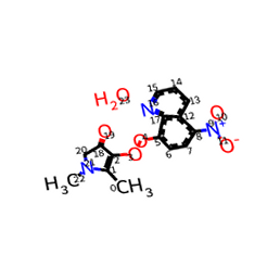 CC1=C(OOc2ccc([N+](=O)[O-])c3cccnc23)C(=O)CN1C.O